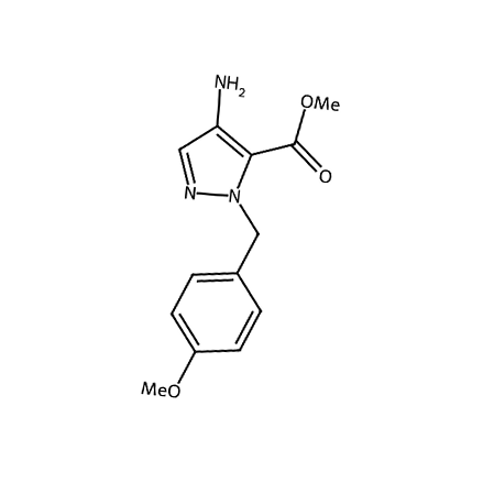 COC(=O)c1c(N)cnn1Cc1ccc(OC)cc1